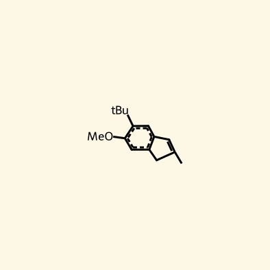 COc1cc2c(cc1C(C)(C)C)C=C(C)C2